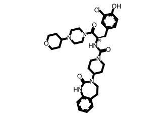 O=C(N[C@H](Cc1ccc(O)c(Cl)c1)C(=O)N1CCN(C2CCOCC2)CC1)N1CCC(N2CCc3ccccc3NC2=O)CC1